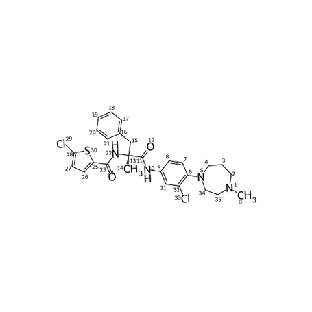 CN1CCCN(c2ccc(NC(=O)[C@@](C)(Cc3ccccc3)NC(=O)c3ccc(Cl)s3)cc2Cl)CC1